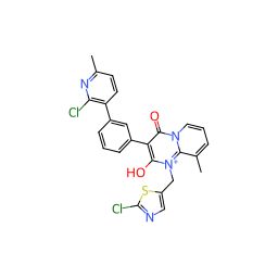 Cc1ccc(-c2cccc(-c3c(O)[n+](Cc4cnc(Cl)s4)c4c(C)cccn4c3=O)c2)c(Cl)n1